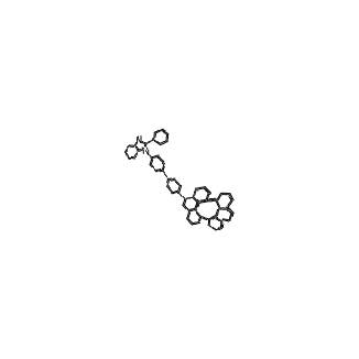 c1ccc(-c2nc3ccccc3n2-c2ccc(-c3ccc(-c4cc5cccc6c7cccc8ccc9cccc(c%10cccc4c%10c56)c9c87)cc3)cc2)cc1